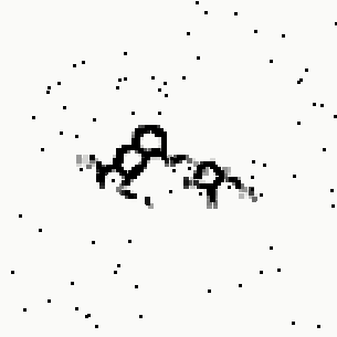 CC[C@@H]1C[C@@H](COc2cccc3cc(C(N)=O)c(OC)cc23)NC1=O